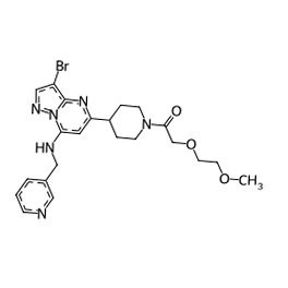 COCCOCC(=O)N1CCC(c2cc(NCc3cccnc3)n3ncc(Br)c3n2)CC1